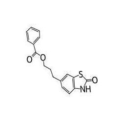 O=C(OCCCc1ccc2[nH]c(=O)sc2c1)c1ccccc1